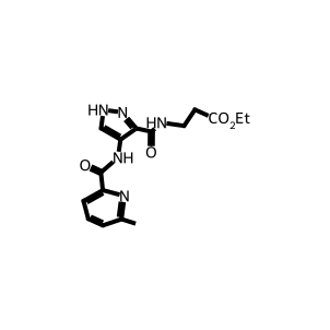 CCOC(=O)CCNC(=O)c1n[nH]cc1NC(=O)c1cccc(C)n1